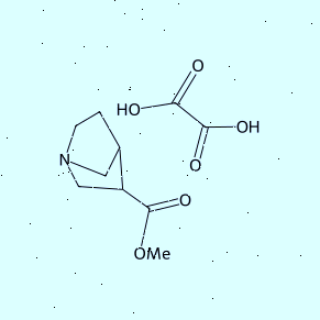 COC(=O)C1CN2CCC1C2.O=C(O)C(=O)O